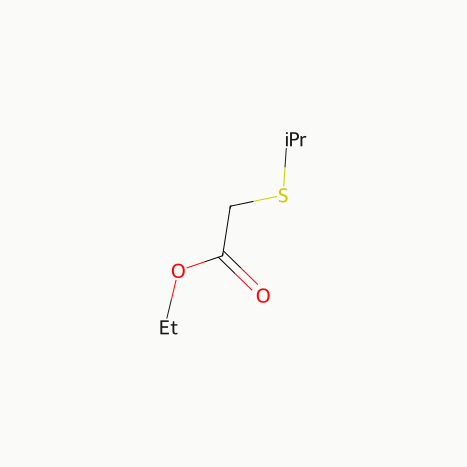 CCOC(=O)CSC(C)C